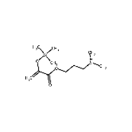 C=C(O[Si](C)(C)C)C(=O)OCCC[SiH](C)C